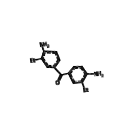 CCc1cc(C(=O)c2ccc(N)c(CC)c2)ccc1N